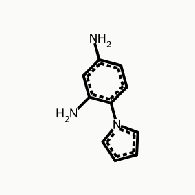 Nc1ccc(-n2cccc2)c(N)c1